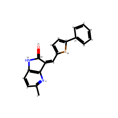 Cc1ccc2c(n1)C(=Cc1ccc(-c3ccccc3)s1)C(=O)N2